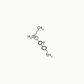 CCCCC[Si@]1(C)CC[C@@H](c2ccc(-c3ccc(CCC)cc3)c(F)c2)CC1